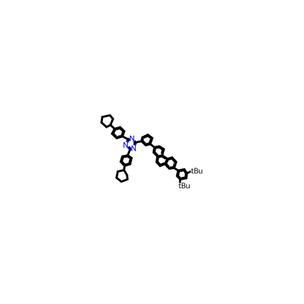 CC(C)(C)c1cc(-c2ccc3c(ccc4cc(-c5cccc(-c6nc(-c7ccc(C8CCCCC8)cc7)nc(-c7ccc(C8CCCCC8)cc7)n6)c5)ccc43)c2)cc(C(C)(C)C)c1